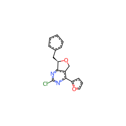 Clc1nc(-c2ccco2)c2c(n1)[C@@H](Cc1ccccc1)OC2